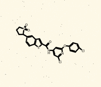 O=C(Nc1cc(Cl)nc(Oc2ccc(Cl)cc2)c1)c1cc2cc(C3CCCS3(=O)=O)ccc2s1